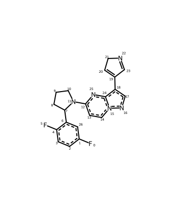 Fc1ccc(F)c(C2CCCN2c2ccn3ncc(C4=CCN=C4)c3n2)c1